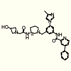 Cc1cn(-c2cc(CN3CCC[C@H](NC(=O)CN4CC(O)C4)C3)cc(NC(=O)c3cc(-c4ccccc4)ccn3)c2)cn1